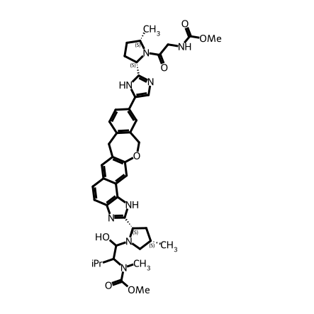 COC(=O)NCC(=O)N1[C@@H](C)CC[C@H]1c1ncc(-c2ccc3c(c2)COc2cc4c(ccc5nc([C@@H]6C[C@H](C)CN6C(O)C(C(C)C)N(C)C(=O)OC)[nH]c54)cc2C3)[nH]1